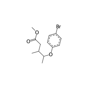 COC(=O)CC(C)C(C)Oc1ccc(Br)cc1